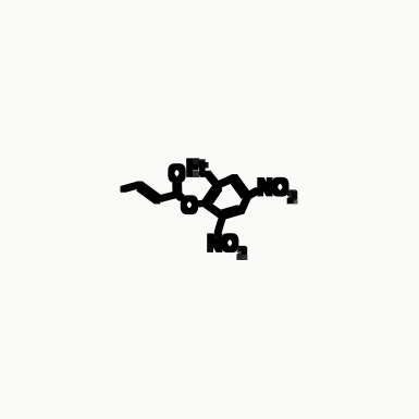 C/C=C/C(=O)Oc1c(CC)cc([N+](=O)[O-])cc1[N+](=O)[O-]